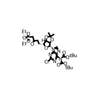 CCOP(=O)(CC(=O)CC[C@H]1O[C@@H](n2cnc3c(N(C(=O)OC(C)(C)C)C(=O)OC(C)(C)C)nc(Cl)nc32)C2OC(C)(C)O[C@H]21)OCC